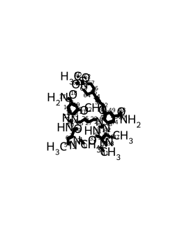 CCn1nc(C)cc1C(=O)Nc1nc2cc(C(N)=O)cc(OC)c2n1C/C=C/Cn1c(NC(=O)c2cc(C)nn2CC)nc2cc(C(N)=O)cc(OCC#CC3CCN(S(C)(=O)=O)CC3)c21